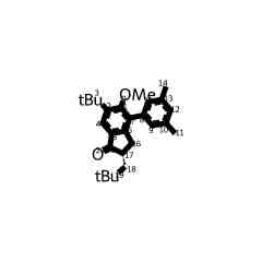 COc1c(C(C)(C)C)cc2c(c1-c1cc(C)cc(C)c1)C[C@H](CC(C)(C)C)C2=O